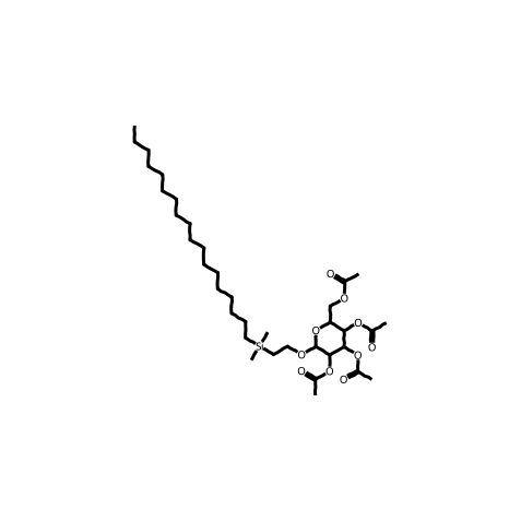 CCCCCCCCCCCCCCCCCC[Si](C)(C)CCOC1OC(COC(C)=O)C(OC(C)=O)C(OC(C)=O)C1OC(C)=O